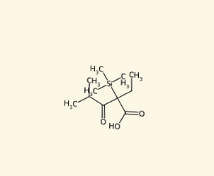 CCC(C(=O)O)(C(=O)C(C)C)[Si](C)(C)C